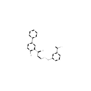 N=C(/C=C\NCc1cccc(C(N)=O)c1)c1cc(-c2ccccc2)ccc1N